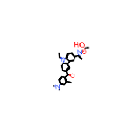 CCn1c2ccc(C(=O)c3ccc(N(C)C)cc3C)cc2c2cc(/C(C)=N/OC(C)O)ccc21